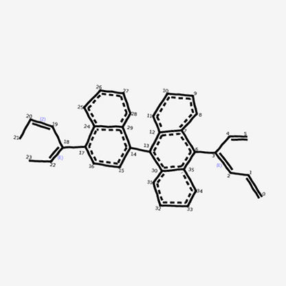 C=C/C=C(\C=C)c1c2ccccc2c(-c2ccc(C(/C=C\C)=C/C)c3ccccc23)c2ccccc12